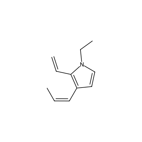 C=Cc1c(/C=C\C)ccn1CC